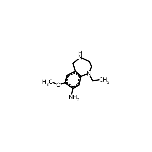 CCN1CCNCc2cc(OC)c(N)cc21